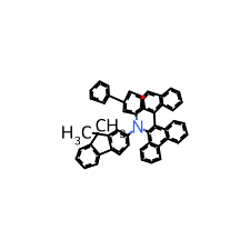 CC1(C)c2ccccc2-c2ccc(N(c3cccc(-c4ccccc4)c3)c3c(-c4cccc5ccccc45)c4ccccc4c4ccccc34)cc21